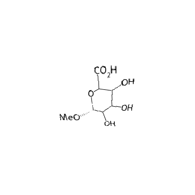 CO[C@@H]1OC(C(=O)O)C(O)C(O)C1O